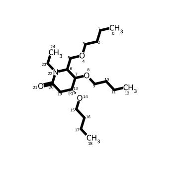 CCCCOCC1C(OCCCC)[C@H](OCCCC)CC(=O)N1CC